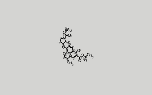 [3H]C(C)OC(=O)c1cn2c3c(c(OC4CCN(C(=O)OCCCC)C4)c(F)cc3c1=O)OCC2C